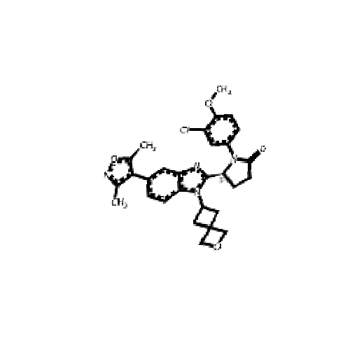 COc1ccc(N2C(=O)CC[C@H]2c2nc3cc(-c4c(C)noc4C)ccc3n2C2CC3(COC3)C2)cc1Cl